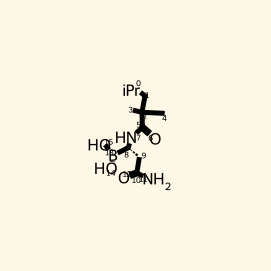 CC(C)CC(C)(C)C(=O)N[C@H](CC(N)=O)B(O)O